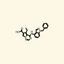 CCc1c(C(=O)O)cn2ncnc(Nc3cccc4c3cnn4Cc3ccccc3)c12